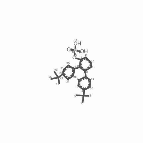 CC(C)(C)c1ccc(-c2cccc(OP(=O)(O)O)c2-c2ccc(C(C)(C)C)cc2)cc1